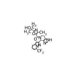 Cc1nc(C(C)(C)O)oc1C(=O)N1CCc2[nH]cnc2C1c1cc2cccc(C(F)(F)F)n2n1